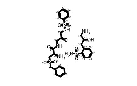 NC(CS(=O)(=O)Cc1ccccc1)C(=O)NCC(=O)CNS(=O)(=O)c1ccccc1.NCC(O)Cc1ccccc1S(N)(=O)=O